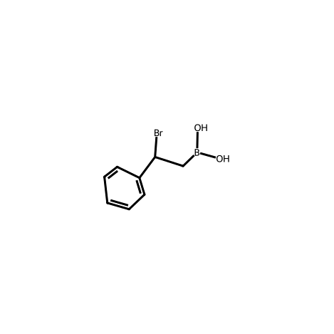 OB(O)CC(Br)c1ccccc1